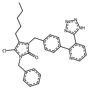 CCCCCc1c(Cl)n(Cc2ccccc2)c(=O)n1Cc1ccc(-c2ncccc2-c2nnn[nH]2)cc1